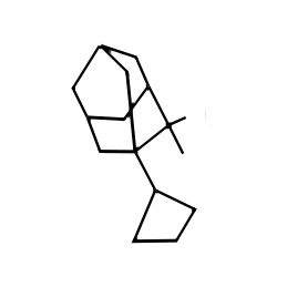 CC1(P)C2CC3CC(C2)CC1(C1CCC1)C3